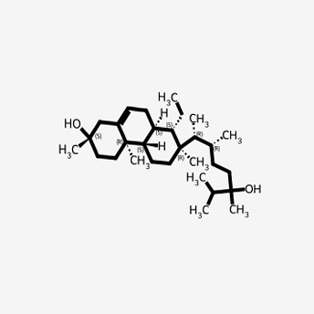 CC[C@H]1[C@@H]2CC=C3C[C@@](C)(O)CC[C@]3(C)[C@H]2CC[C@]1(C)[C@H](C)[C@H](C)CCC(C)(O)C(C)C